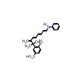 C=C(/C=C/C=C/C=C/N(C(C)=O)c1ccccc1)C(C)(C)c1cc(S(=O)(=O)O)ccc1C